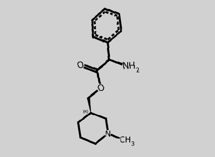 CN1CCC[C@@H](COC(=O)C(N)c2ccccc2)C1